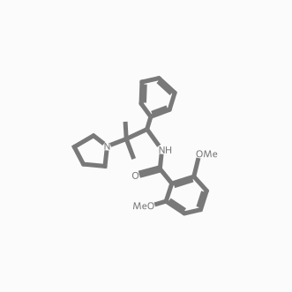 COc1cccc(OC)c1C(=O)NC(c1ccccc1)C(C)(C)N1CCCC1